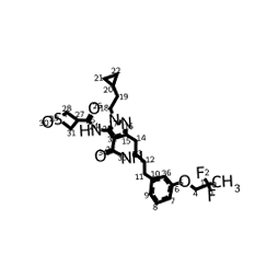 CC(F)(F)COc1cccc(CCC2Cc3nn(CCC4CC4)c(NC(=O)C4C[S+]([O-])C4)c3C(=O)N2)c1